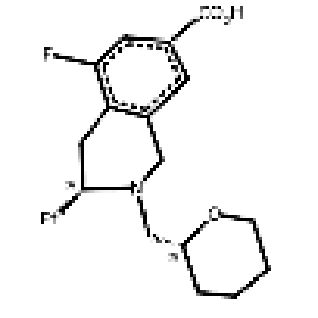 CC[C@H]1Cc2c(F)cc(C(=O)O)cc2CN1C[C@H]1CCCCO1